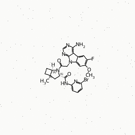 COc1cc2c(cc1F)c1c(N)ncnc1n2CC(=O)N1[C@H](C(=O)Nc2cccc(Br)n2)C[C@@]2(C)CC[C@@H]12